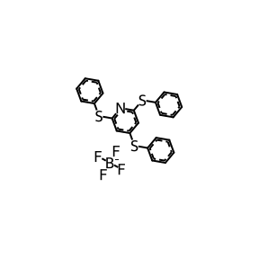 F[B-](F)(F)F.c1ccc(Sc2cc(Sc3ccccc3)nc(Sc3ccccc3)c2)cc1